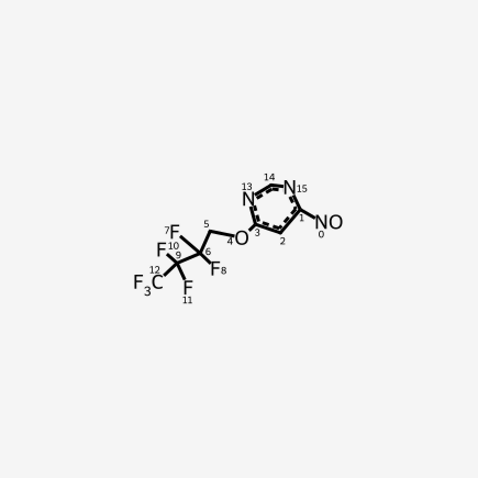 O=Nc1cc(OCC(F)(F)C(F)(F)C(F)(F)F)ncn1